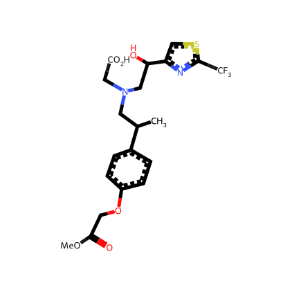 COC(=O)COc1ccc(C(C)CN(CC(=O)O)CC(O)c2csc(C(F)(F)F)n2)cc1